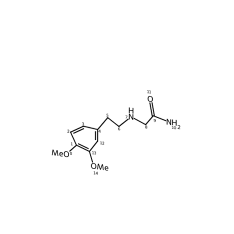 COc1ccc(CCNCC(N)=O)cc1OC